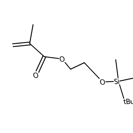 C=C(C)C(=O)OCCO[Si](C)(C)C(C)(C)C